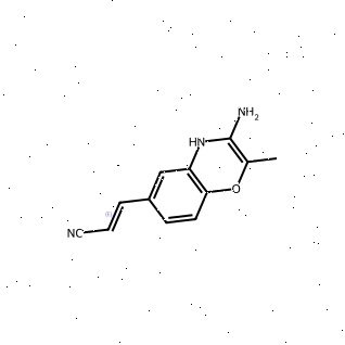 CC1=C(N)Nc2cc(/C=C/C#N)ccc2O1